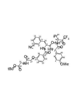 COc1ccc([C@H](NC(=O)[C@H](Cc2cccc(C#N)c2)NC(=O)c2cccc(OCC(=O)NCC(=O)OC(C)(C)C)c2)C(=O)N[C@H](C(=O)C(F)(F)F)C(C)C)cc1